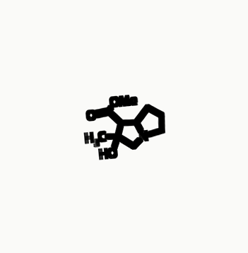 COC(=O)C1C2CCCN2CC1(C)O